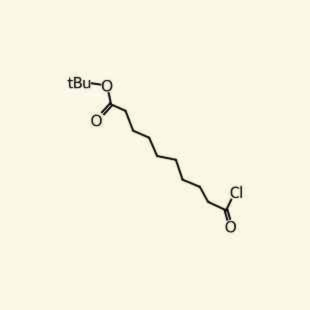 CC(C)(C)OC(=O)CCCCCCCCC(=O)Cl